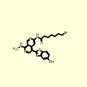 CNc1ncc(-c2nc3cc(O)ccc3o2)c2cc(NC(=O)CCCCCCBr)ncc12